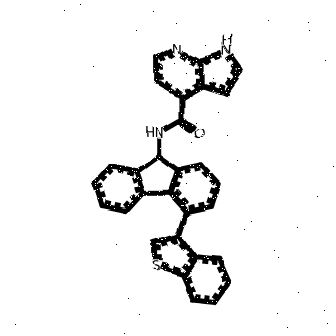 O=C(NC1c2ccccc2-c2c(-c3csc4ccccc34)cccc21)c1ccnc2[nH]ccc12